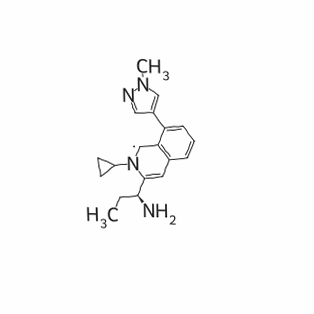 CC[C@H](N)C1=Cc2cccc(-c3cnn(C)c3)c2[CH]N1C1CC1